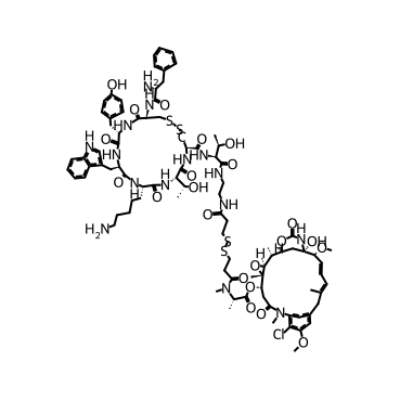 COc1cc2cc(c1Cl)N(C)C(=O)C[C@H](OC(=O)[C@H](C)N(C)C(=O)CCSSCCC(=O)NCCNC(=O)[C@@H](NC(=O)[C@@H]1CSSC[C@H](NC(=O)[C@H](N)Cc3ccccc3)C(=O)N[C@@H](Cc3ccc(O)cc3)C(=O)N[C@H](Cc3c[nH]c4ccccc34)C(=O)N[C@@H](CCCCCN)C(=O)N[C@@H]([C@@H](C)O)C(=O)N1)[C@@H](C)O)[C@]1(C)O[C@H]1[C@H](C)[C@@H]1C[C@@](O)(NC(=O)O1)[C@H](OC)/C=C/C=C(\C)C2